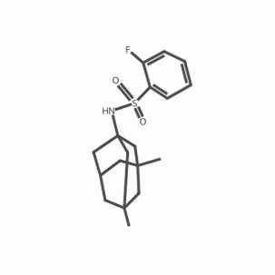 CC12CC3CC(C)(C1)CC(NS(=O)(=O)c1ccccc1F)(C3)C2